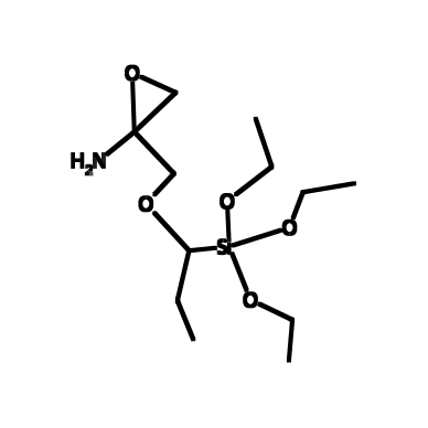 CCO[Si](OCC)(OCC)C(CC)OCC1(N)CO1